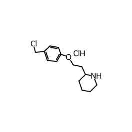 Cl.ClCc1ccc(OCCC2CCCCN2)cc1